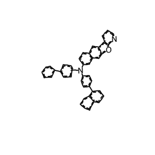 c1ccc(-c2ccc(N(c3ccc(-c4cccc5ccccc45)cc3)c3ccc4cc5c(cc4c3)oc3ncccc35)cc2)cc1